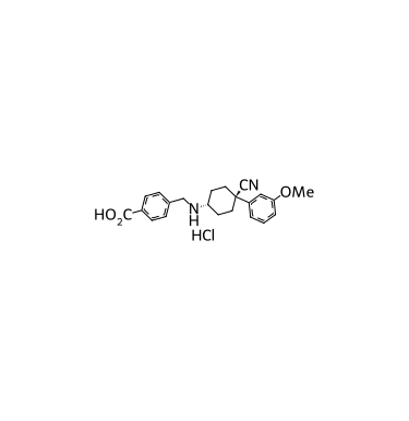 COc1cccc([C@]2(C#N)CC[C@H](NCc3ccc(C(=O)O)cc3)CC2)c1.Cl